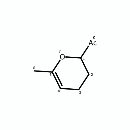 CC(=O)C1CCC=C(C)O1